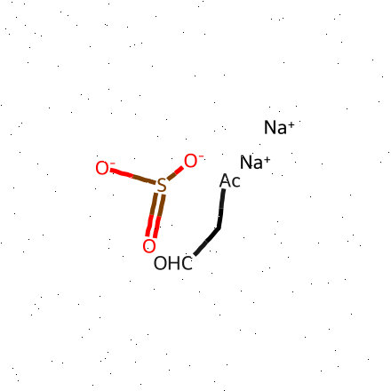 CC(=O)CC=O.O=S([O-])[O-].[Na+].[Na+]